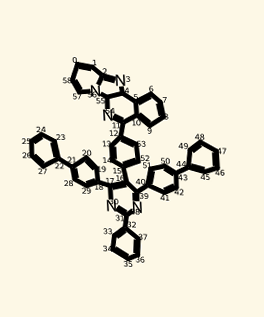 C1=CC2=NC3c4ccccc4C(c4ccc(-c5c(-c6ccc(-c7ccccc7)cc6)nc(-c6ccccc6)nc5-c5ccc(-c6ccccc6)cc5)cc4)=NC3N2C=C1